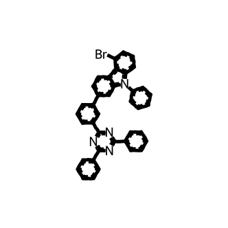 Brc1cccc2c1c1ccc(-c3cccc(-c4nc(-c5ccccc5)nc(-c5ccccc5)n4)c3)cc1n2-c1ccccc1